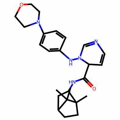 CC1(C)C2CCC1(C)C(NC(=O)C1C=CN=CN1Nc1ccc(N3CCOCC3)cc1)C2